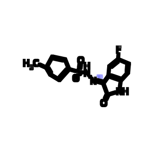 Cc1ccc(S(=O)(=O)N/N=C2/C(=O)Nc3ccc(F)cc32)cc1